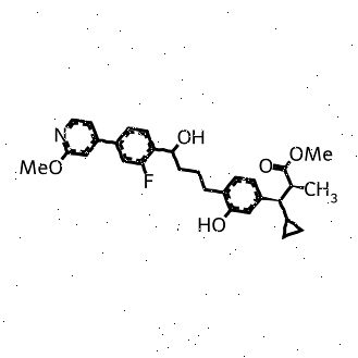 COC(=O)[C@@H](C)[C@H](c1ccc(CCCC(O)c2ccc(-c3ccnc(OC)c3)cc2F)c(O)c1)C1CC1